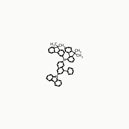 CC1(C)c2ccccc2-c2cc(N(c3ccc4cc(-n5c6ccccc6c6ccccc65)cc(-c5ccccc5)c4c3)c3cccc4c3-c3ccccc3C4(C)C)ccc21